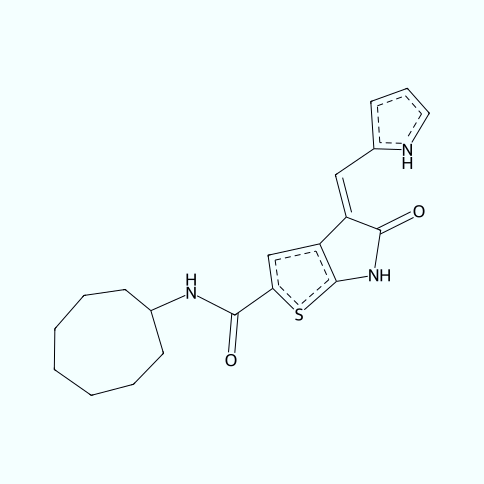 O=C1Nc2sc(C(=O)NC3CCCCCCC3)cc2C1=Cc1ccc[nH]1